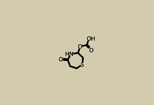 O=C1CCSCC(OC(=O)O)N1